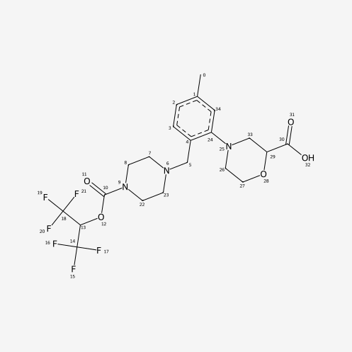 Cc1ccc(CN2CCN(C(=O)OC(C(F)(F)F)C(F)(F)F)CC2)c(N2CCOC(C(=O)O)C2)c1